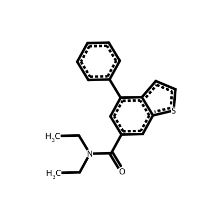 CCN(CC)C(=O)c1cc(-c2ccccc2)c2ccsc2c1